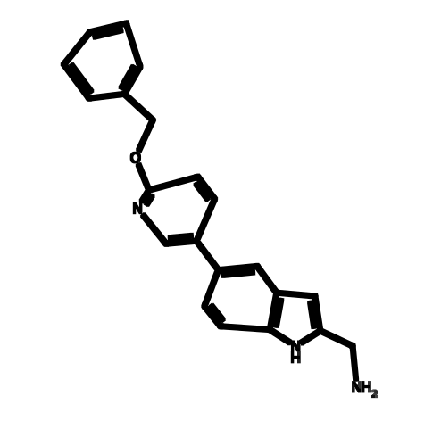 NCc1cc2cc(-c3ccc(OCc4ccccc4)nc3)ccc2[nH]1